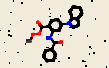 CC(C)(C)OOC(=O)c1ccc(-n2ccc3ccccc32)cc1NC(=O)c1ccccc1